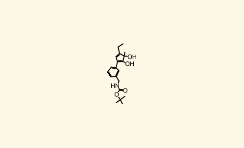 CCC1=CC(c2cccc(CNC(=O)OC(C)(C)C)c2)=C(O)C1(C)O